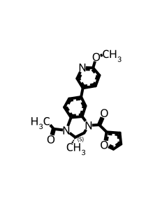 COc1ccc(-c2ccc3c(c2)N(C(=O)c2ccco2)C[C@H](C)N3C(C)=O)cn1